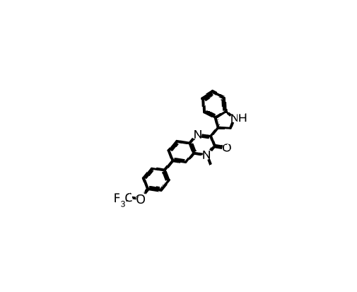 Cn1c(=O)c(C2CNc3ccccc32)nc2ccc(-c3ccc(OC(F)(F)F)cc3)cc21